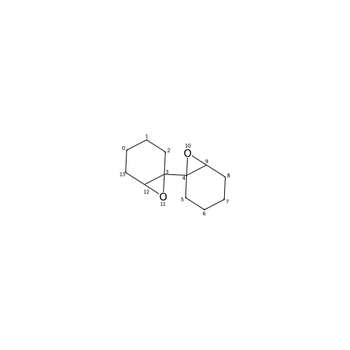 C1CCC2(C34CCCCC3O4)OC2C1